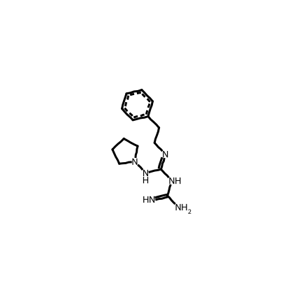 N=C(N)NC(=NCCc1ccccc1)NN1CCCC1